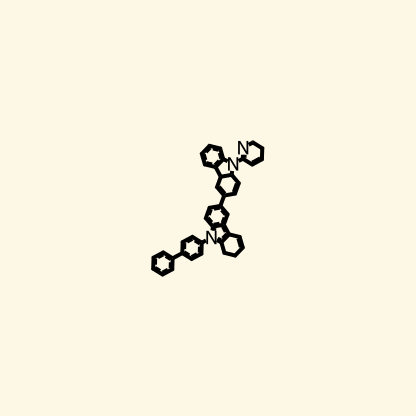 C1=CC(N2c3ccccc3C3C=C(c4ccc5c(c4)c4c(n5-c5ccc(-c6ccccc6)cc5)CCC=C4)C=CC32)=NCC1